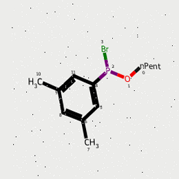 CCCCCOP(Br)c1cc(C)cc(C)c1